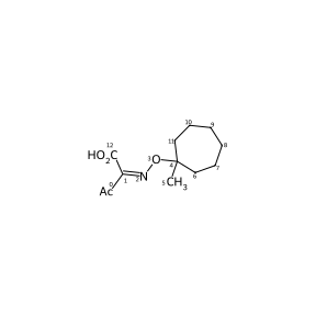 CC(=O)C(=NOC1(C)CCCCCC1)C(=O)O